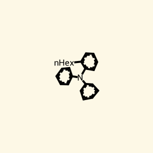 CCCCCCc1ccccc1N(c1ccccc1)c1ccccc1